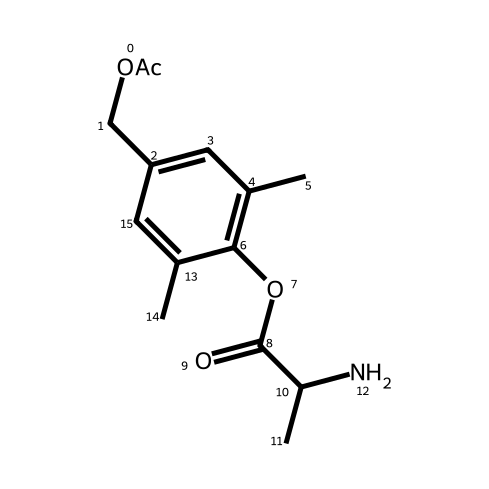 CC(=O)OCc1cc(C)c(OC(=O)C(C)N)c(C)c1